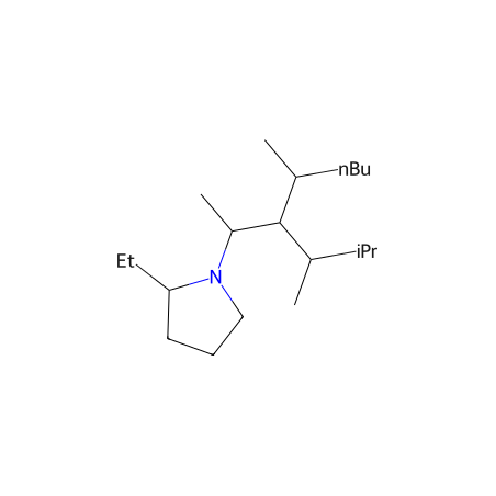 CCCCC(C)C(C(C)C(C)C)C(C)N1CCCC1CC